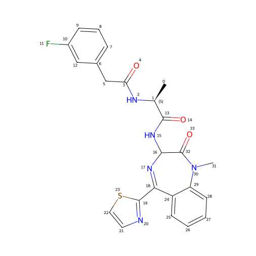 C[C@H](NC(=O)Cc1cccc(F)c1)C(=O)NC1N=C(c2nccs2)c2ccccc2N(C)C1=O